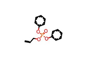 C=CCOP(=O)(Oc1ccccc1)Oc1ccccc1